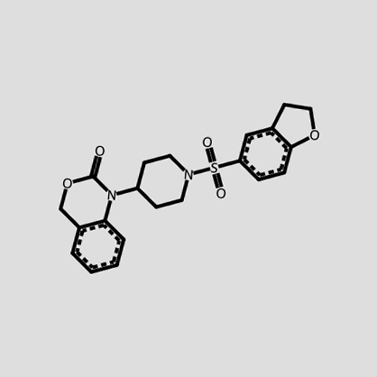 O=C1OCc2ccccc2N1C1CCN(S(=O)(=O)c2ccc3c(c2)CCO3)CC1